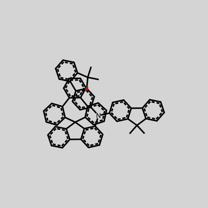 CC1(C)c2ccccc2-c2ccc(N(c3ccc4c(c3)C(C)(C)c3ccccc3-4)c3cccc4c3C3(c5ccccc5-c5ccccc5-c5ccccc53)c3ccccc3-4)cc21